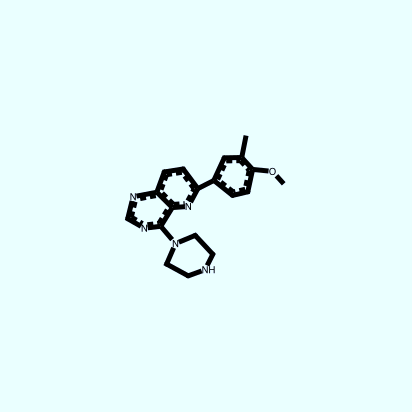 COc1ccc(-c2ccc3ncnc(N4CCNCC4)c3n2)cc1C